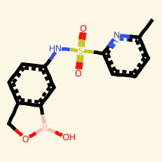 Cc1cccc(S(=O)(=O)Nc2ccc3c(c2)B(O)OC3)n1